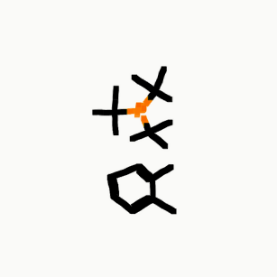 CC(C)(C)P(C(C)(C)C)C(C)(C)C.Cc1ccccc1C